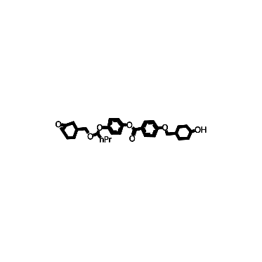 CCCC(OCC1CCC2OC2C1)Oc1ccc(OC(=O)c2ccc(OCC3CCC(O)CC3)cc2)cc1